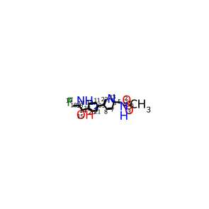 CS(=O)(=O)NCc1ccc(-c2ccc([C@@H](O)[C@H](N)CF)cc2)cn1